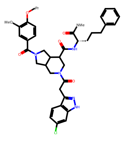 CNC(=O)[C@H](CCCc1ccccc1)NC(=O)C1CN(C(=O)Cc2n[nH]c3cc(Cl)ccc23)CC2CN(C(=O)c3ccc(OC(C)C)c(OC)c3)CC21